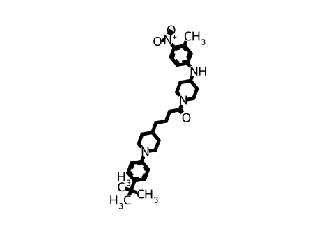 Cc1cc(NC2CCN(C(=O)CCCC3CCN(c4ccc(C(C)(C)C)cc4)CC3)CC2)ccc1[N+](=O)[O-]